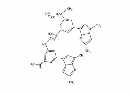 C[SiH2]c1cc([SiH2]C)cc(C2=CC(C)=C3P=C(C)C=C23)c1.C[SiH2]c1cc([SiH2]C)cc(C2=CC(C)=C3P=C(C)C=C23)c1.[Cl-].[Cl-].[Zr+2]